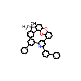 CC1(C)c2ccccc2-c2c1ccc1c2Oc2c(cccc2-c2cc(-c3cccc(-c4ccccc4)c3)nc(-c3cccc(-c4ccccc4)c3)c2)O1